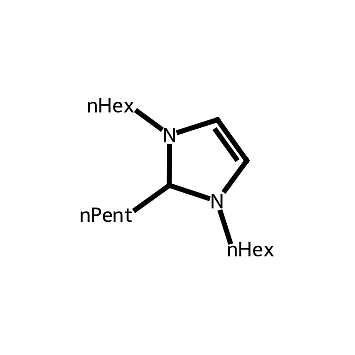 CCCCCCN1C=CN(CCCCCC)C1CCCCC